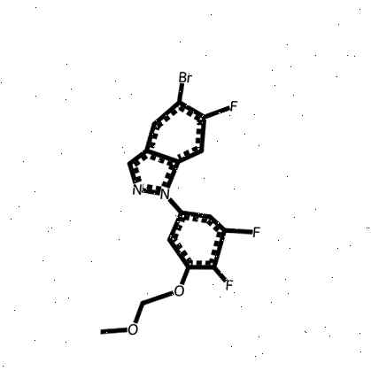 COCOc1cc(-n2ncc3cc(Br)c(F)cc32)cc(F)c1F